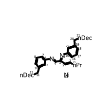 CCCC=CC(C=Nc1cccc(CCCCCCCCCCC)c1)=Nc1cccc(CCCCCCCCCCC)c1.[Ni]